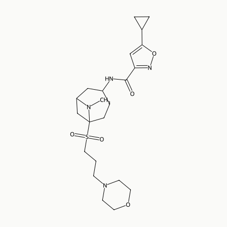 CN1C2CC(NC(=O)c3cc(C4CC4)on3)CCC1(S(=O)(=O)CCCN1CCOCC1)C2